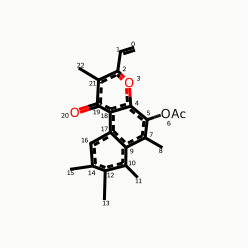 C=Cc1oc2c(OC(C)=O)c(C)c3c(C)c(C)c(C)cc3c2c(=O)c1C